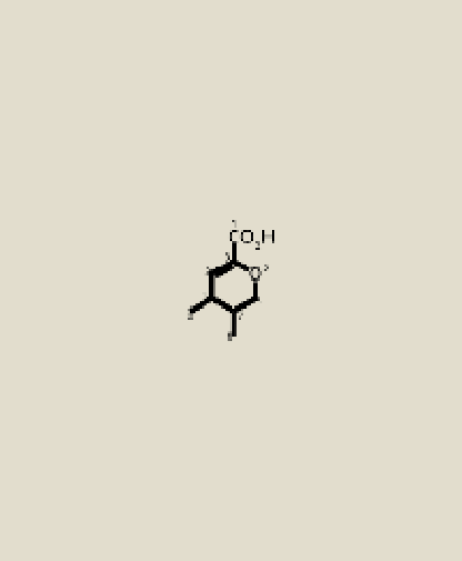 CC1C=C(C(=O)O)OCC1C